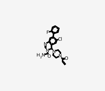 C=CC(=O)N1CCN(C2c3cc(Cl)c(-c4ccccc4F)cc3N=CN2C(N)=O)CC1